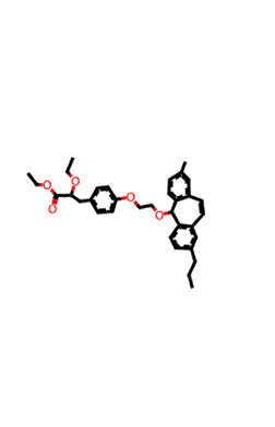 CCCc1ccc2c(c1)C=Cc1cc(C)ccc1C2OCCOc1ccc(CC(OCC)C(=O)OCC)cc1